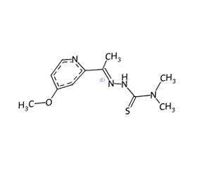 COc1ccnc(/C(C)=N/NC(=S)N(C)C)c1